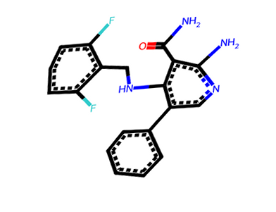 NC(=O)c1c(N)ncc(-c2ccccc2)c1NCc1c(F)cccc1F